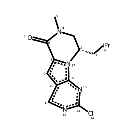 CC(C)C[C@H]1CN(C)C(=O)c2cc3cnc(Cl)nc3n21